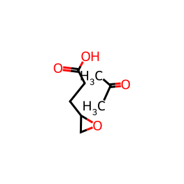 CC(C)=O.O=C(O)CCC1CO1